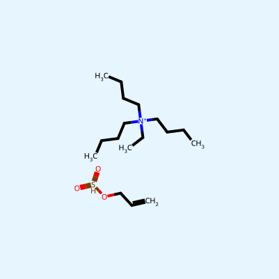 C=CCO[SH](=O)=O.CCCC[N+](CC)(CCCC)CCCC